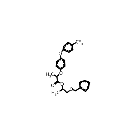 CC(COCc1ccccc1)OC(=O)C(C)Oc1ccc(Oc2ccc(C(F)(F)F)cc2)cc1